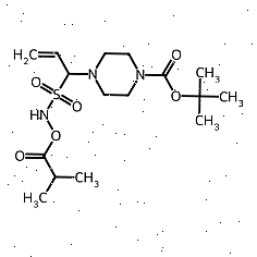 C=CC(N1CCN(C(=O)OC(C)(C)C)CC1)S(=O)(=O)NOC(=O)C(C)C